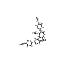 N#Cc1ccc(-c2ccc3[nH]c4ccc(-c5ccc(C#N)cc5)c(C#N)c4c3c2)cc1